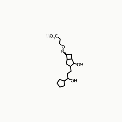 O=C(O)CCON=C1CC2C1CC(CCC(O)C1CCCC1)C2O